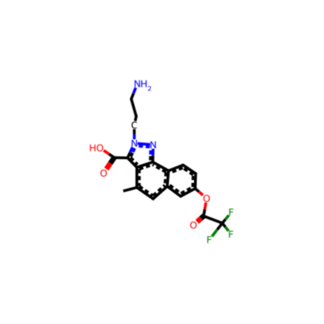 Cc1cc2cc(OC(=O)C(F)(F)F)ccc2c2nn(CCCN)c(C(=O)O)c12